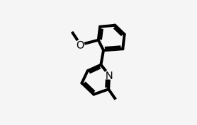 COc1ccccc1-c1cccc(C)n1